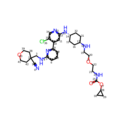 N#CC1(CNc2cccc(-c3cc(N[C@H]4CC[C@H](NCCOCCNC(=O)OC5CC5)CC4)ncc3Cl)n2)CCOCC1